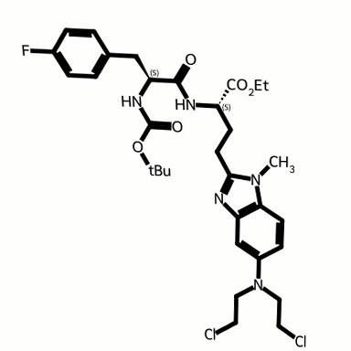 CCOC(=O)[C@H](CCc1nc2cc(N(CCCl)CCCl)ccc2n1C)NC(=O)[C@H](Cc1ccc(F)cc1)NC(=O)OC(C)(C)C